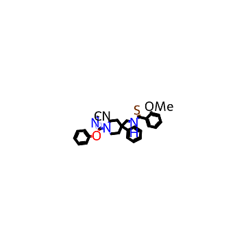 COc1ccccc1C(=S)NCC1(c2ccccc2)CCN(/C(=N\C#N)Oc2ccccc2)CC1